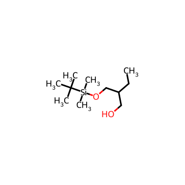 CCC(CO)CO[Si](C)(C)C(C)(C)C